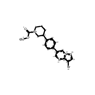 CC(C)(C)OC(=O)N1CCCC(c2ccc(-c3cnc4c(Br)cnn4c3)cc2)C1